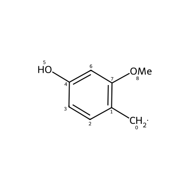 [CH2]c1ccc(O)cc1OC